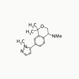 CNC1COC(C)(C)c2cc(-c3ccnn3C)ccc21